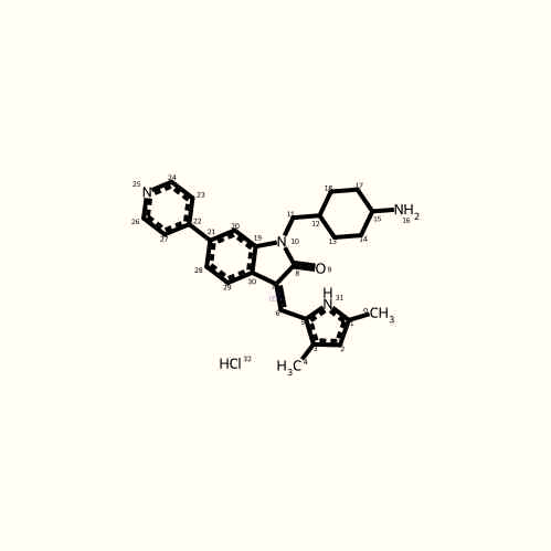 Cc1cc(C)c(/C=C2\C(=O)N(CC3CCC(N)CC3)c3cc(-c4ccncc4)ccc32)[nH]1.Cl